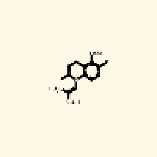 COc1c(F)ccc2c1CCC(C)N2C=C(C(=O)O)C(=O)O